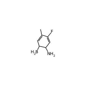 BC1C=C(C)C(F)=CC1N